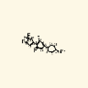 CCCC1CCC(c2cc(F)c(C3=CC(F)(F)C(F)(F)C3)c(F)c2)CC1